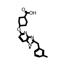 Cc1cccc(Cc2nc3nc(OC4CCC(C(=O)O)CC4)ccc3n2C)c1